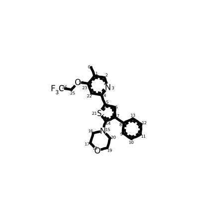 Cc1cnc(-c2cc(-c3ccccc3)c(N3CCOCC3)s2)cc1OCC(F)(F)F